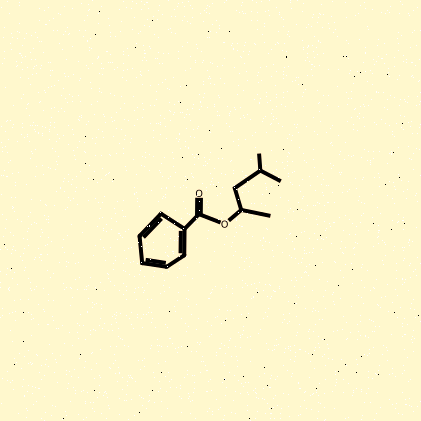 CC(C)CC(C)OC(=O)c1ccccc1